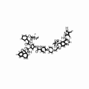 CN[C@@H](C)C(=O)N[C@H](C(=O)N1C[C@@H](NC(=O)c2cnc(N3CCN(CCOc4cc5ncnc(Nc6n[nH]c(C)c6C)c5cc4S(=O)(=O)C(C)(C)C)CC3)cn2)C[C@H]1C(=O)N[C@]1(C=O)C=CCc2ccccc21)C1CCCCC1